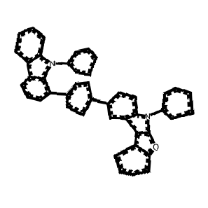 c1ccc(-n2c3ccc(-c4ccc(-c5cccc6c7ccccc7n(-c7ccccc7)c56)cc4)cc3c3c4ccccc4oc32)cc1